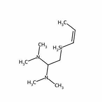 C/C=C\[SiH2]CC(N(C)C)N(C)C